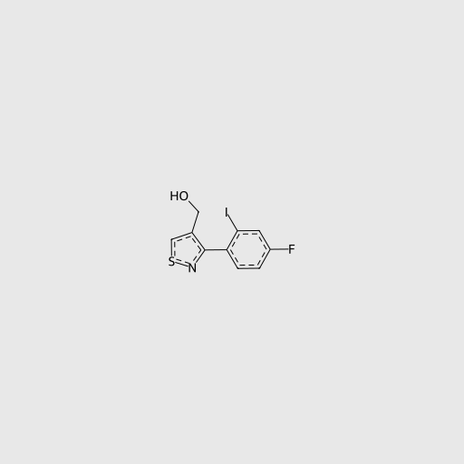 OCc1csnc1-c1ccc(F)cc1I